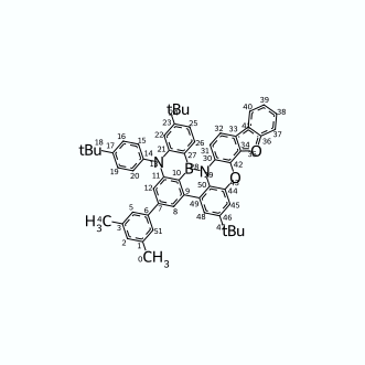 Cc1cc(C)cc(-c2cc3c4c(c2)N(c2ccc(C(C)(C)C)cc2)c2cc(C(C)(C)C)ccc2B4N2c4ccc5c(oc6ccccc65)c4Oc4cc(C(C)(C)C)cc-3c42)c1